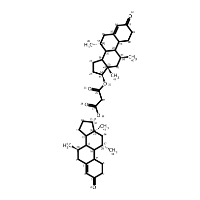 C[C@@H]1CC2=CC(=O)CCC2C2C1C1CC[C@H](OC(=O)CC(=O)O[C@H]3CCC4C5C(C6CCC(=O)C=C6C[C@H]5C)[C@@H](C)C[C@@]43C)[C@@]1(C)C[C@@H]2C